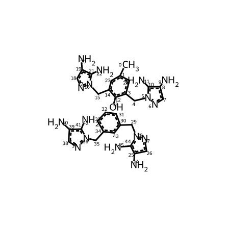 Cc1cc(Cn2ncc(N)c2N)c(O)c(Cn2ncc(N)c2N)c1.Nc1cnn(Cc2cccc(Cn3ncc(N)c3N)c2)c1N